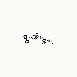 Cc1cc(CN2CCC(F)(C(=O)N3CCC(N4Cc5ccccc5-c5ccccc5C4)CC3)CC2)cc(N)n1